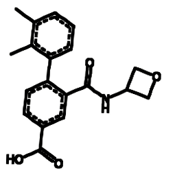 Cc1cccc(-c2ccc(C(=O)O)cc2C(=O)NC2COC2)c1C